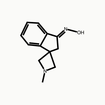 CN1CC2(CC(=NO)c3ccccc32)C1